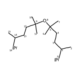 CC(C)C(C)CCC(C)(C)OC(C)(C)CCC(C)C(C)C